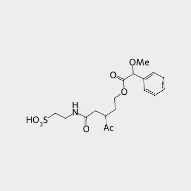 COC(C(=O)OCCC(CC(=O)NCCS(=O)(=O)O)C(C)=O)c1ccccc1